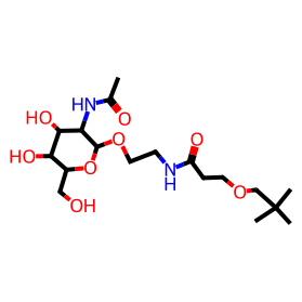 CC(=O)NC1C(OCCNC(=O)CCOCC(C)(C)C)OC(CO)C(O)C1O